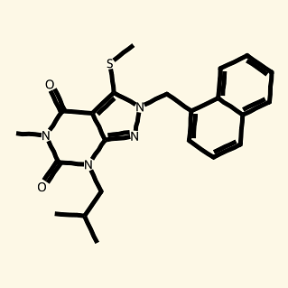 CSc1c2c(=O)n(C)c(=O)n(CC(C)C)c2nn1Cc1cccc2ccccc12